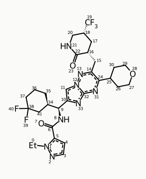 CCn1nccc1C(=O)N[C@H](c1cn2nc(C[C@H]3C[C@@H](C(F)(F)F)CNC3=O)c(C3CCOCC3)nc2n1)[C@@H]1CCCC(F)(F)C1